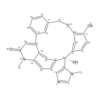 Cn1cncc1[C@]1(O)c2ccc(C#N)c(c2)OCc2cccc(c2)-c2cc(=O)n(C)c3ccc1cc23